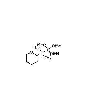 CO[Si](OC)(OC)[Si](C)(C)C1CCCCO1